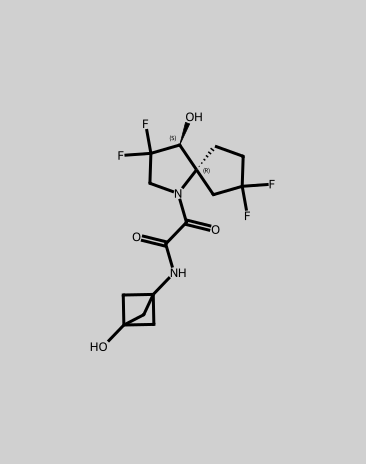 O=C(NC12CC(O)(C1)C2)C(=O)N1CC(F)(F)[C@@H](O)[C@]12CCC(F)(F)C2